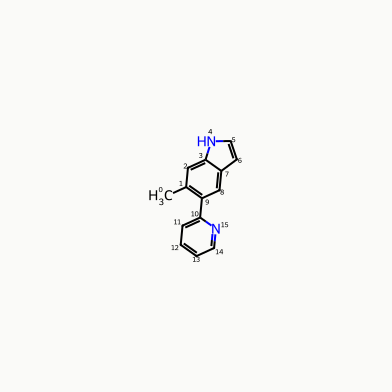 Cc1cc2[nH]ccc2cc1-c1ccccn1